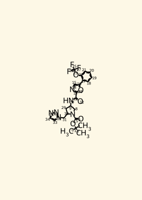 CC(C)(C)OC(=O)N1CC(NC(=O)c2ncc(-c3ccccc3OC(F)(F)F)o2)CC1Cn1ccnn1